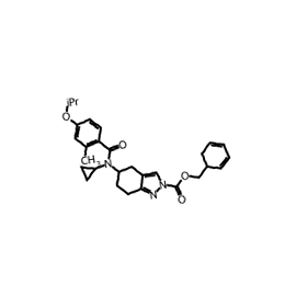 Cc1cc(OC(C)C)ccc1C(=O)N(C1CC1)C1CCc2nn(C(=O)OCC3C=CC=CC3)cc2C1